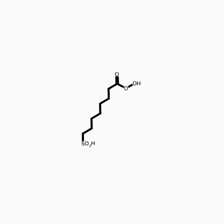 O=C(CCCCCCCS(=O)(=O)O)OO